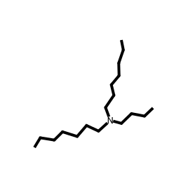 CCCCCCCN(CCCC)CCCCCCC